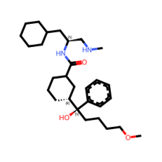 CNC[C@H](CC1CCCCC1)NC(=O)C1CCC[C@@H]([C@@](O)(CCCCOC)c2ccccc2)C1